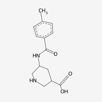 Cc1ccc(C(=O)NC2CNCC(C(=O)O)C2)cc1